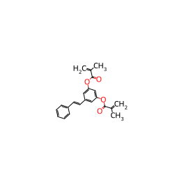 C=C(C)C(=O)Oc1cc(/C=C/c2ccccc2)cc(OC(=O)C(=C)C)c1